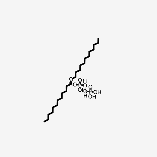 CCCCCCCCCCCCOCCCCCCCCCCCC.O=P(O)(O)O.O=P(O)(O)O